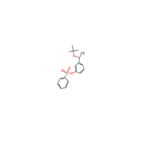 C[Si](C)(C)OC(C#N)c1cccc(OS(=O)(=O)c2ccccc2)c1